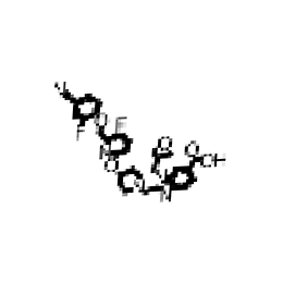 N#Cc1ccc(OCc2nc(OC3CCN(Cc4nc5ccc(C(=O)O)cc5n4CC4COC4)CC3)ccc2F)c(F)c1